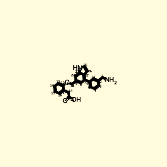 NCc1cccc(-c2cc(COc3ccccc3CC(=O)O)cc3[nH]ccc23)c1